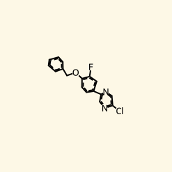 Fc1cc(-c2cnc(Cl)cn2)ccc1OCc1ccccc1